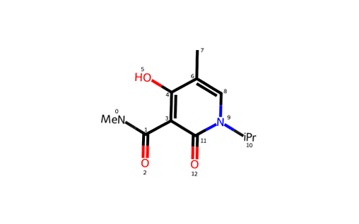 CNC(=O)c1c(O)c(C)cn(C(C)C)c1=O